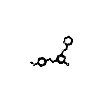 COc1ccc(COc2cc(Cl)nc(OCC3CCCCO3)c2)cc1